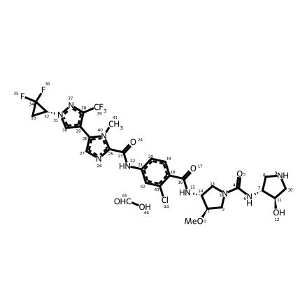 CO[C@@H]1CN(C(=O)N[C@@H]2CNC[C@H]2O)C[C@H]1NC(=O)c1ccc(NC(=O)c2ncc(-c3cn([C@@H]4CC4(F)F)nc3C(F)(F)F)n2C)cc1Cl.O=CO